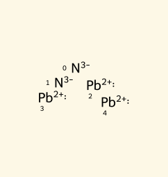 [N-3].[N-3].[Pb+2].[Pb+2].[Pb+2]